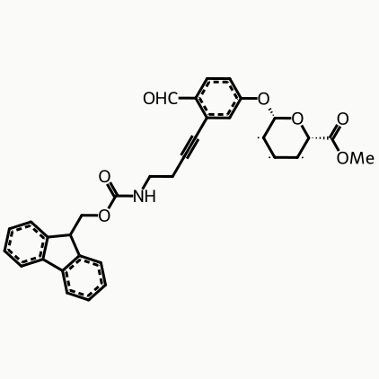 COC(=O)[C@@H]1[CH][CH][CH][C@H](Oc2ccc(C=O)c(C#CCCNC(=O)OCC3c4ccccc4-c4ccccc43)c2)O1